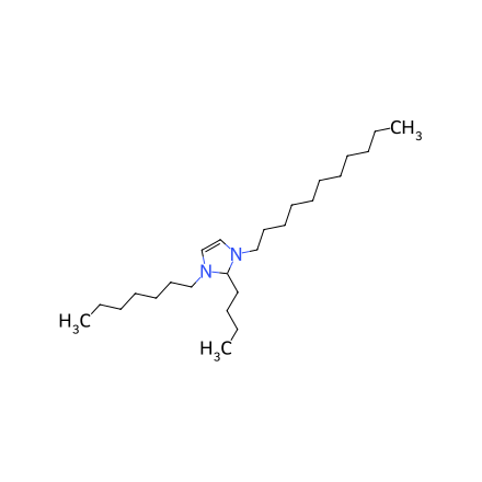 CCCCCCCCCCCN1C=CN(CCCCCCC)C1CCCC